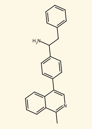 Cc1ncc(-c2ccc(C(N)Cc3ccccc3)cc2)c2ccccc12